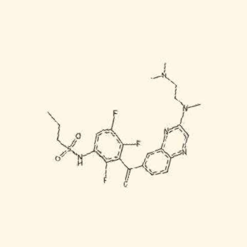 CCCS(=O)(=O)Nc1cc(F)c(F)c(C(=O)c2ccc3ncc(N(C)CCN(C)C)nc3c2)c1F